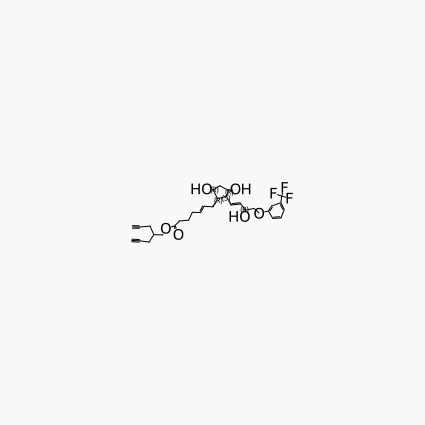 C#CCC(CC#C)COC(=O)CCCC=CC[C@@H]1[C@H](C=C[C@@H](O)COc2cccc(C(F)(F)F)c2)[C@H](O)C[C@H]1O